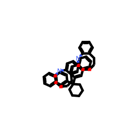 c1ccc2c(c1)CC1Cc3ccccc3N2c2ccc(C3(c4ccc5c(c4)CC4Cc6ccccc6N5c5ccccc5C4)CCCCC3)cc2C1